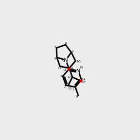 Cc1ccc(N2C3CCC2CC(C(C)C)C3)nc1